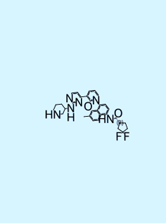 Cc1ccc2c(NC(=O)[C@@H]3CCC(F)(F)C3)cccc2c1Oc1ncccc1-c1ccnc(NC2CCCNC2)n1